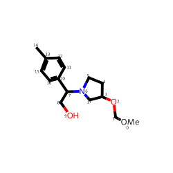 COCOC1CCN(C(CO)c2ccc(C)cc2)C1